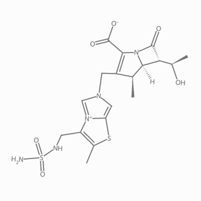 Cc1sc2cn(CC3=C(C(=O)[O-])N4C(=O)[C@H]([C@@H](C)O)[C@H]4[C@H]3C)c[n+]2c1CNS(N)(=O)=O